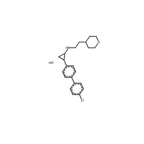 Cl.Clc1ccc(-c2ccc(C3CC3NCCC3CCOCC3)cc2)cc1